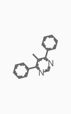 Cc1c(-c2ccccc2)ncnc1-c1ccccc1